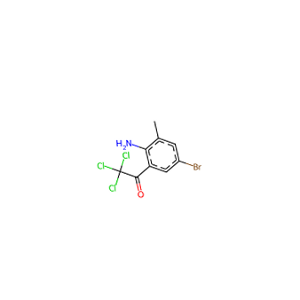 Cc1cc(Br)cc(C(=O)C(Cl)(Cl)Cl)c1N